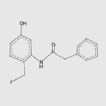 O=C(Cc1ccccc1)Nc1cc(O)ccc1CI